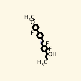 CCCC(O)c1ccc(/C=C/c2ccc(-c3ccc(OCC)cc3F)cc2)c(F)c1F